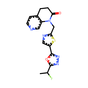 CC(F)c1nnc(-c2cnc(CN3C(=O)CCc4ccncc43)s2)o1